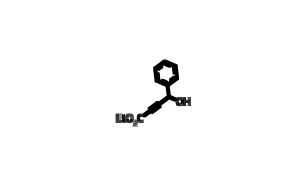 CCOC(=O)C#CC(O)c1ccccc1